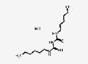 CCCCCCNC(=N)NC(=O)NCCCCCC.Cl